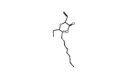 C=CC(SC(CC)CCCCCCCCC)C(=O)O